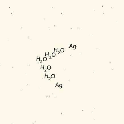 O.O.O.O.O.[Ag].[Ag]